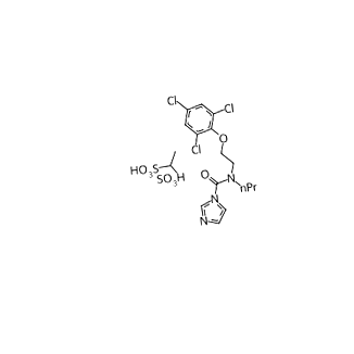 CC(S(=O)(=O)O)S(=O)(=O)O.CCCN(CCOc1c(Cl)cc(Cl)cc1Cl)C(=O)n1ccnc1